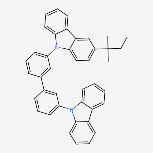 CCC(C)(C)c1ccc2c(c1)c1ccccc1n2-c1cccc(-c2cccc(-n3c4ccccc4c4ccccc43)c2)c1